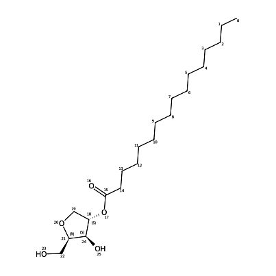 CCCCCCCCCCCCCCCC(=O)O[C@H]1CO[C@H](CO)[C@@H]1O